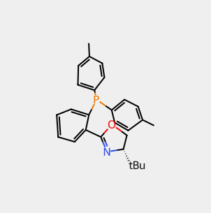 Cc1ccc(P(c2ccc(C)cc2)c2ccccc2C2=N[C@@H](C(C)(C)C)CO2)cc1